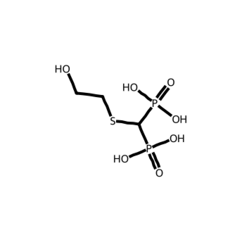 O=P(O)(O)C(SCCO)P(=O)(O)O